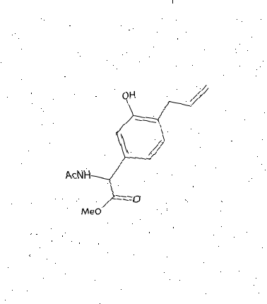 C=CCc1ccc(C(NC(C)=O)C(=O)OC)cc1O